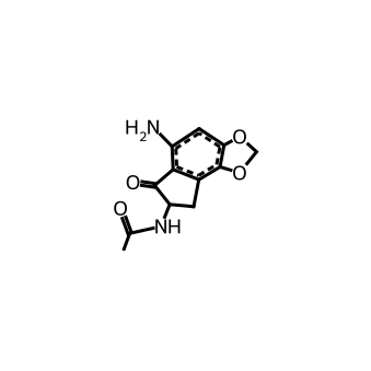 CC(=O)NC1Cc2c3c(cc(N)c2C1=O)OCO3